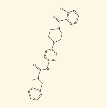 O=C(Nc1ccc(N2CCN(C(=O)c3ccccc3Cl)CC2)cc1)N1Cc2ccccc2C1